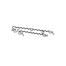 CC(C)CCCCCCCCCCCCCCC(=O)O.CCCCCCCCCCCCOCCCCCCCCCCCC